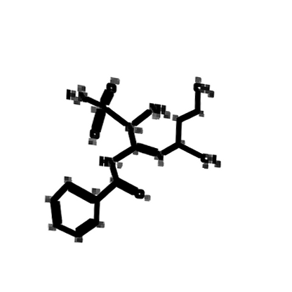 CCCC(C)N=C(NC(=O)c1ccccc1)N(N)S(N)(=O)=O